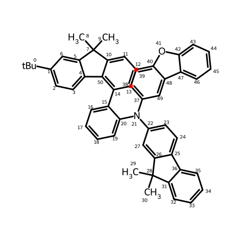 CC(C)(C)c1ccc2c(c1)C(C)(C)c1cccc(-c3ccccc3N(c3ccc4c(c3)C(C)(C)c3ccccc3-4)c3ccc4oc5ccccc5c4c3)c1-2